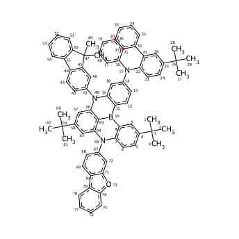 CC(C)(C)c1ccc2c(c1)B1c3ccc(N(c4ccccc4)c4ccc(C(C)(C)C)cc4-c4ccccc4)cc3N(c3ccc4c(c3)C(C)(C)c3ccccc3-4)c3cc(C(C)(C)C)cc(c31)N2c1ccc2c(c1)oc1ccccc12